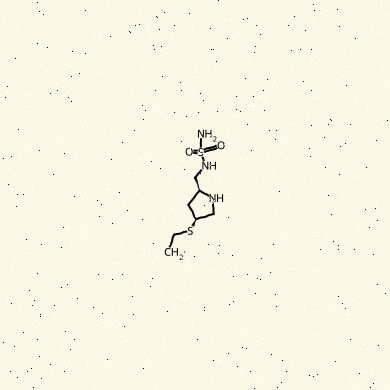 [CH2]CS[C@@H]1CN[C@H](CNS(N)(=O)=O)C1